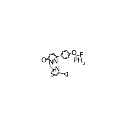 O=c1ccc(-c2ccc(OC(F)P)cc2)nn1Cc1nc(C2CC2)cs1